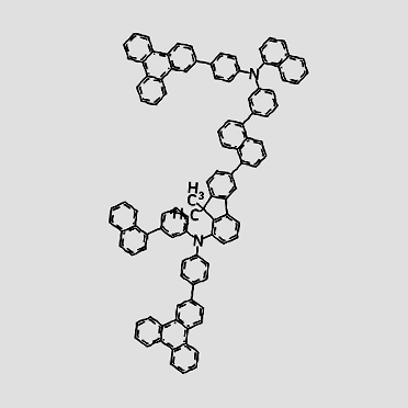 CC1(C)c2ccc(-c3cccc4c(-c5cccc(N(c6ccc(-c7ccc8c9ccccc9c9ccccc9c8c7)cc6)c6cccc7ccccc67)c5)cccc34)cc2-c2cccc(N(c3ccc(-c4ccc5c6ccccc6c6ccccc6c5c4)cc3)c3cccc(-c4cccc5ccccc45)c3)c21